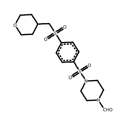 O=CN1CCN(S(=O)(=O)c2ccc(S(=O)(=O)CC3CCOCC3)cc2)CC1